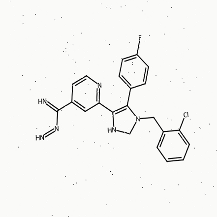 N=NC(=N)c1ccnc(C2=C(c3ccc(F)cc3)N(Cc3ccccc3Cl)CN2)c1